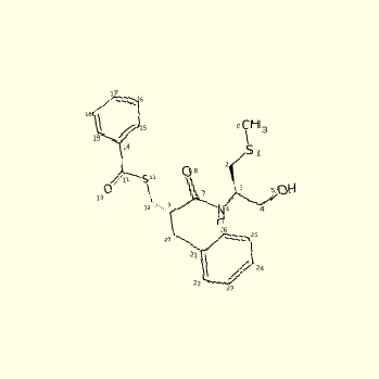 CSC[C@@H](CO)NC(=O)[C@@H](CSC(=O)c1ccccc1)Cc1ccccc1